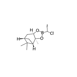 CC1(C)[C@@H]2C[C@H]3OB(C(Cl)I)O[C@@]3(C)[C@H]1C2